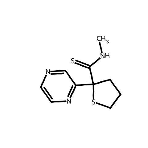 CNC(=S)C1(c2cnccn2)CCCS1